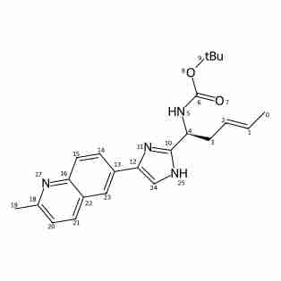 C/C=C/C[C@H](NC(=O)OC(C)(C)C)c1nc(-c2ccc3nc(C)ccc3c2)c[nH]1